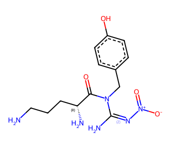 NCCC[C@@H](N)C(=O)N(Cc1ccc(O)cc1)/C(N)=N\[N+](=O)[O-]